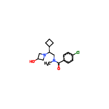 CN(CC(C1CCC1)N1CC(O)C1)C(=O)c1ccc(Cl)cc1